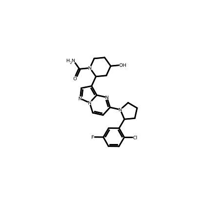 NC(=O)N1CCC(O)CC1c1cnn2ccc(N3CCCC3c3cc(F)ccc3Cl)nc12